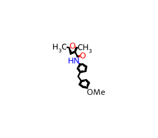 COc1ccc(Cc2cccc(NC(=O)c3cc(C)oc3C)c2)cc1